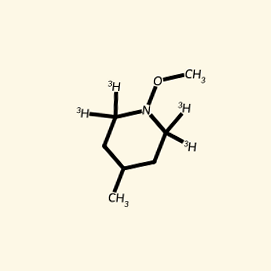 [3H]C1([3H])CC(C)CC([3H])([3H])N1OC